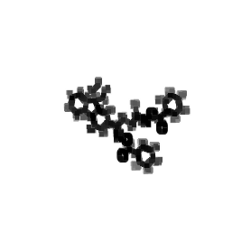 CCC1(CC)c2ccccc2-c2ccc(/C(CC/C(C)=N/OC(=O)c3ccccc3)=N/OC(=O)c3ccccc3)cc21